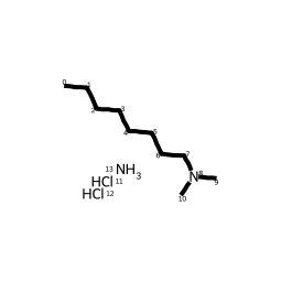 CCCCCCCCN(C)C.Cl.Cl.N